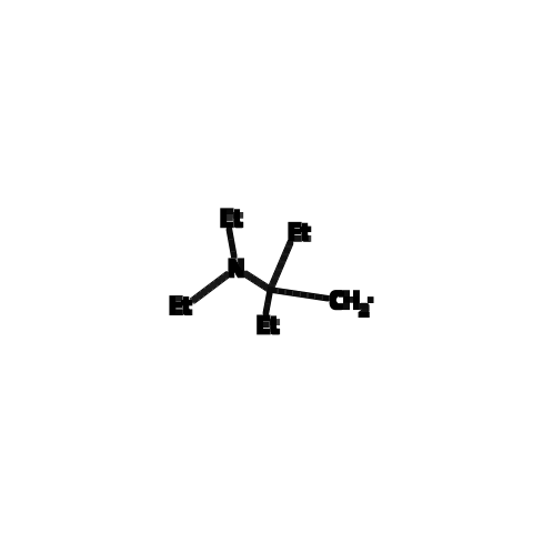 [CH2]C(CC)(CC)N(CC)CC